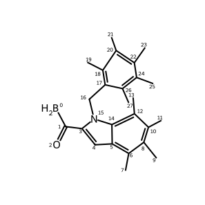 BC(=O)c1cc2c(C)c(C)c(C)c(C)c2n1Cc1c(C)c(C)c(C)c(C)c1C